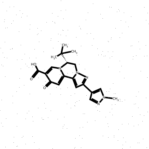 Cn1cc(-c2cc3n(n2)C[C@@H](C(C)(C)C)n2cc(C(=O)O)c(=O)cc2-3)cn1